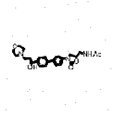 CC(=O)NCC1CN(c2ccc(-c3ccc(C(O)CCN4CCOCC4)cc3)cc2)C(=O)O1